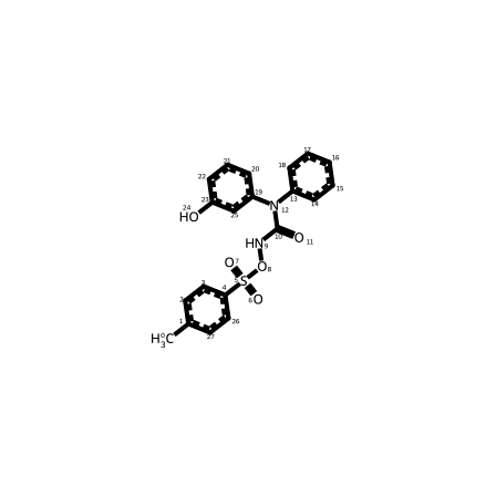 Cc1ccc(S(=O)(=O)ONC(=O)N(c2ccccc2)c2cccc(O)c2)cc1